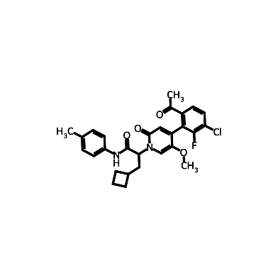 COc1cn(C(CC2CCC2)C(=O)Nc2ccc(C)cc2)c(=O)cc1-c1c(C(C)=O)ccc(Cl)c1F